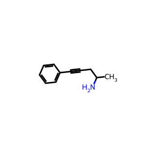 CC(N)CC#Cc1ccccc1